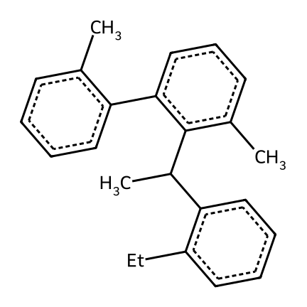 CCc1ccccc1C(C)c1c(C)cccc1-c1ccccc1C